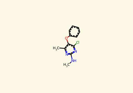 CNc1nc(C)c(Oc2ccccc2)c(Cl)n1